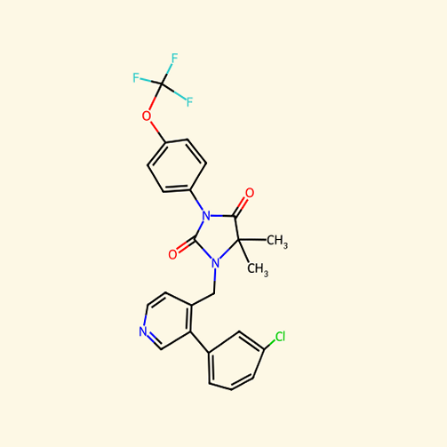 CC1(C)C(=O)N(c2ccc(OC(F)(F)F)cc2)C(=O)N1Cc1ccncc1-c1cccc(Cl)c1